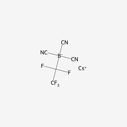 N#C[B-](C#N)(C#N)C(F)(F)C(F)(F)F.[Cs+]